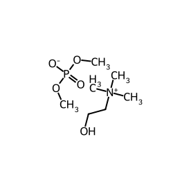 COP(=O)([O-])OC.C[N+](C)(C)CCO